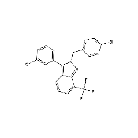 FC(F)(F)c1cccc2c(-c3cccc(Cl)c3)n(Cc3ccc(Cl)cc3)nc12